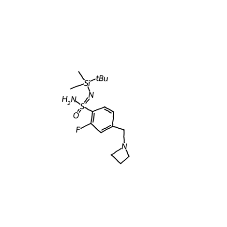 CC(C)(C)[Si](C)(C)N=S(N)(=O)c1ccc(CN2CCC2)cc1F